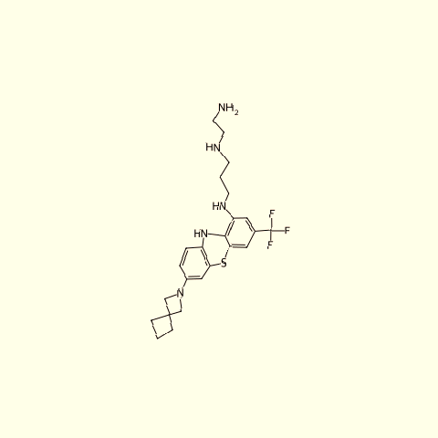 NCCNCCCNc1cc(C(F)(F)F)cc2c1Nc1ccc(N3CC4(CCC4)C3)cc1S2